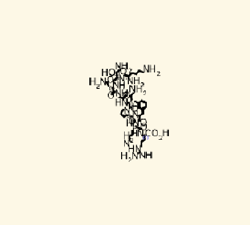 Cc1cccc(CC(NC(=O)[C@@H]2CCCN2C(=O)[C@@H](CCCN)NC(=O)CNC(=O)[C@H](CCN)NC(=O)[C@@H](NC(=O)[C@@H](N)CCCCN)[C@@H](O)CN)C(=O)N[C@@H](CCCCN)C(=O)N/C(=C\CCNC(=N)N)C(=O)O)c1